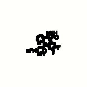 CCCN(CCC)CC(=O)N1c2cc(F)c(F)cc2-n2c(n[nH]c2=O)-c2cccnc21